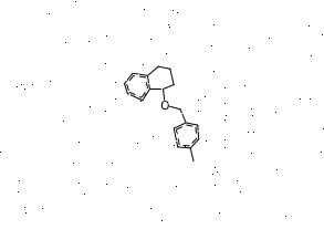 Cc1ccc(COC2CCCc3ccccc32)cc1